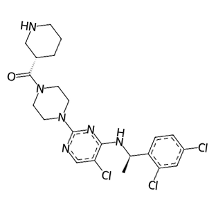 C[C@@H](Nc1nc(N2CCN(C(=O)[C@H]3CCCNC3)CC2)ncc1Cl)c1ccc(Cl)cc1Cl